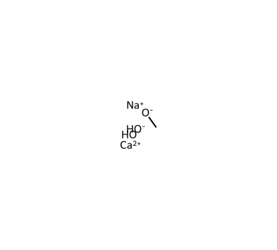 C[O-].[Ca+2].[Na+].[OH-].[OH-]